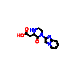 O=C(O)CC1NCCN(c2cn3ccccc3n2)C1=O